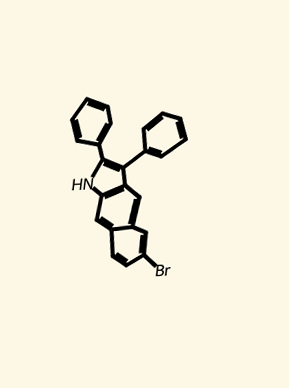 Brc1ccc2cc3[nH]c(-c4ccccc4)c(-c4ccccc4)c3cc2c1